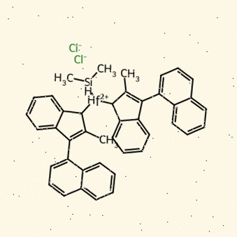 CC1=C(c2cccc3ccccc23)c2ccccc2[CH]1[Hf+2]([CH]1C(C)=C(c2cccc3ccccc23)c2ccccc21)[SiH](C)C.[Cl-].[Cl-]